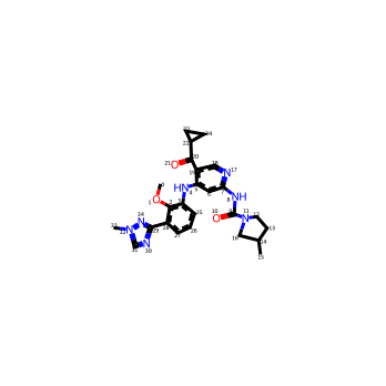 COc1c(Nc2cc(NC(=O)N3CCC(C)C3)ncc2C(=O)C2CC2)cccc1-c1ncn(C)n1